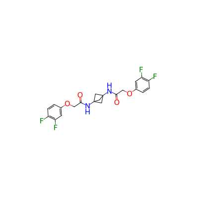 O=C(COc1ccc(F)c(F)c1)NC12CC(NC(=O)COc3ccc(F)c(F)c3)(C1)C2